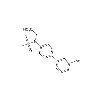 CC(=O)c1cccc(-c2ccc(N(CC(=O)O)S(C)(=O)=O)cc2)c1